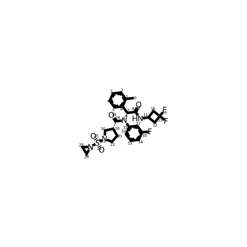 Cc1ccccc1[C@H](C(=O)NC1CC(F)(F)C1)N(C(=O)[C@@H]1CCN(S(=O)(=O)N2CC2)C1)c1cccc(F)c1